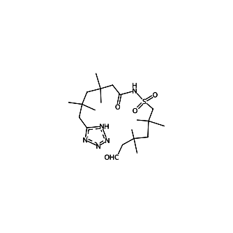 CC(C)(CC=O)CC(C)(C)CS(=O)(=O)NC(=O)CC(C)(C)CC(C)(C)Cc1nnn[nH]1